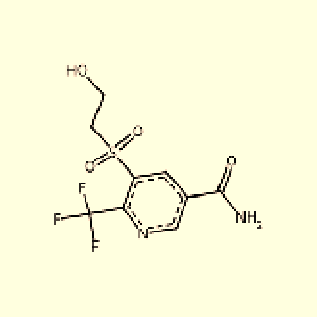 NC(=O)c1cnc(C(F)(F)F)c(S(=O)(=O)CCO)c1